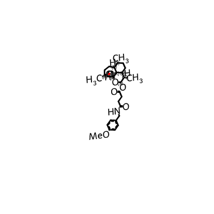 COc1ccc(CNC(=O)CCC(=O)O[C@@H]2O[C@@H]3O[C@@]4(C)CC[C@H]5[C@H](C)CC[C@@H]([C@H]2C)[C@@]35OO4)cc1